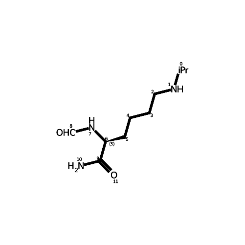 CC(C)NCCCC[C@H](NC=O)C(N)=O